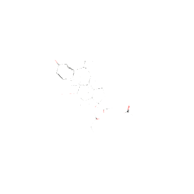 CCC(=O)O[C@]1(C(=O)COC(C)=O)CC[C@H]2[C@@H]3C[C@H](C)C4=CC(=O)C=C[C@]4(C)[C@H]3C(O)C[C@@]21C